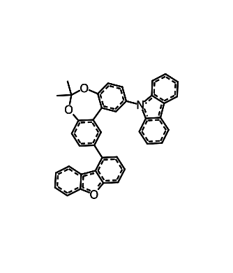 CC1(C)Oc2ccc(-c3cccc4oc5ccccc5c34)cc2-c2cc(-n3c4ccccc4c4ccccc43)ccc2O1